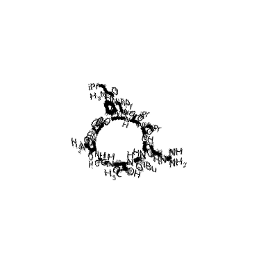 CCC[C@H](NC(=O)[C@H](N)CC(C)C)C(=O)N[C@@H]1C(=O)N[C@@H]([C@H](O)C(C)C)C(=O)N[C@@H](CC(C)C)C(=O)N[C@H](CCCNC(=N)N)C(=O)N[C@@H]([C@@H](C)CC)C(=O)N[C@@H]([C@H](C)O)C(=O)NCC(=O)N[C@@H]([C@H](O)C(N)=O)C(=O)N[C@@H](CO)C(=O)O[C@@H]1c1ccccc1